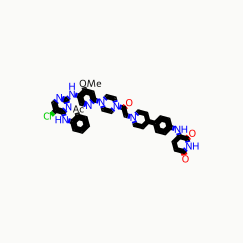 COc1cc(N2CCN(C(=O)CN3CCC(c4ccc(NC5CCC(=O)NC5=O)cc4)CC3)CC2)ncc1Nc1ncc(Cl)c(Nc2ccccc2C(C)=O)n1